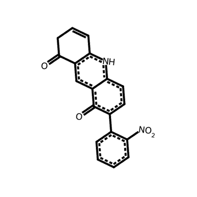 O=C1CC=Cc2[nH]c3ccc(-c4ccccc4[N+](=O)[O-])c(=O)c-3cc21